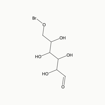 O=CC(O)C(O)C(O)C(O)COBr